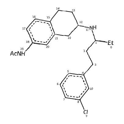 CCC(CCc1cccc(Cl)c1)NC1CCc2ccc(NC(C)=O)cc2C1